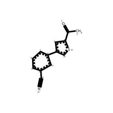 CC(=O)c1cc(-c2cccc(C#N)c2)cs1